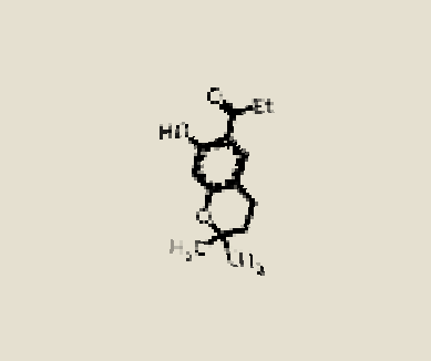 CCC(=O)c1cc2c(cc1O)OC(C)(C)CC2